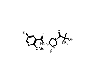 COc1ncc(Br)cc1C(=O)N[C@@H]1CN(C(=O)C(C)(O)C(F)(F)F)C[C@@H]1F